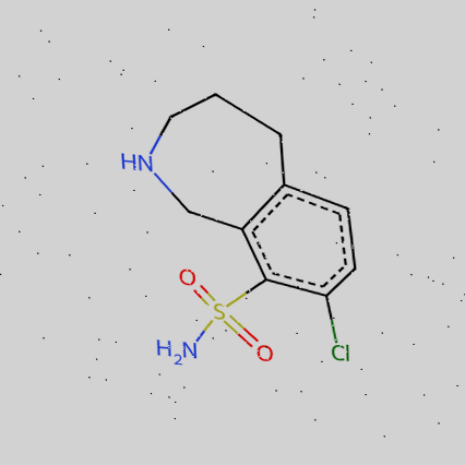 NS(=O)(=O)c1c(Cl)ccc2c1CNCCC2